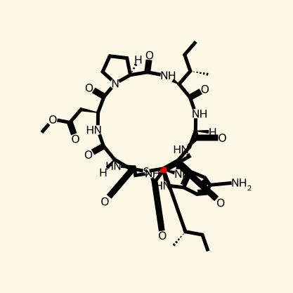 CC[C@H](C)[C@@H]1NC(=O)CNC(=O)[C@@H]2Cc3c([nH]c4ccc(N)cc34)SC[C@H](NC(=O)CNC1=O)C(=O)N[C@@H](CC(=O)OC)C(=O)N1CCC[C@H]1C(=O)N[C@@H]([C@@H](C)CC)C(=O)N2